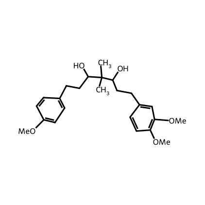 COc1ccc(CCC(O)C(C)(C)C(O)CCc2ccc(OC)c(OC)c2)cc1